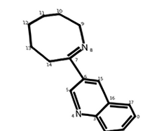 c1ccc2ncc(/C3=N/CCCCCC3)cc2c1